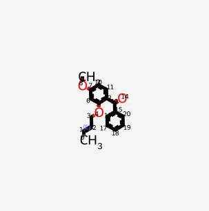 C/C=C/COc1cc(OC)ccc1C(=O)c1ccccc1